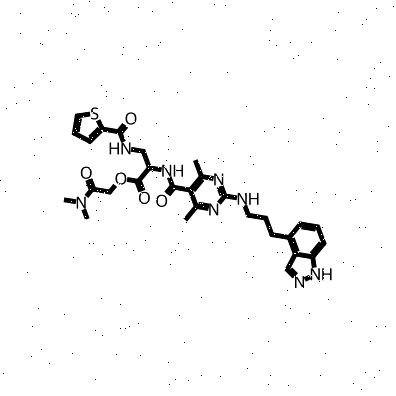 Cc1nc(NCCCc2cccc3[nH]ncc23)nc(C)c1C(=O)NC(CNC(=O)c1cccs1)C(=O)OCC(=O)N(C)C